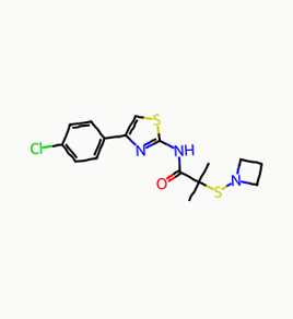 CC(C)(SN1CCC1)C(=O)Nc1nc(-c2ccc(Cl)cc2)cs1